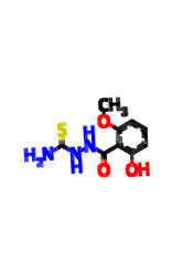 COc1cccc(O)c1C(=O)NNC(N)=S